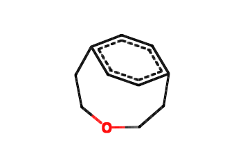 c1cc2ccc1CCOCC2